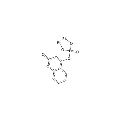 CCOP(=O)(OCC)Oc1cc(=O)oc2ccccc12